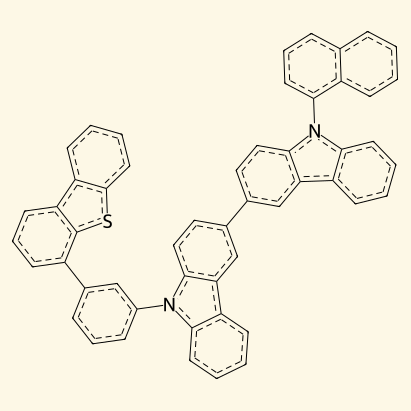 c1cc(-c2cccc3c2sc2ccccc23)cc(-n2c3ccccc3c3cc(-c4ccc5c(c4)c4ccccc4n5-c4cccc5ccccc45)ccc32)c1